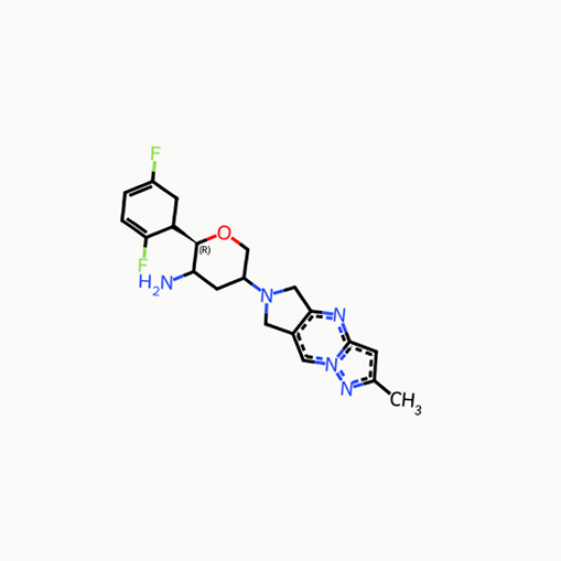 Cc1cc2nc3c(cn2n1)CN(C1CO[C@H](C2CC(F)=CC=C2F)C(N)C1)C3